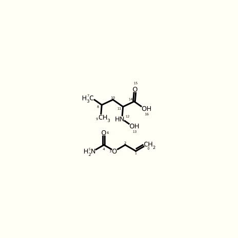 C=CCOC(N)=O.CC(C)CC(NO)C(=O)O